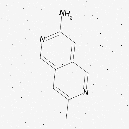 Cc1cc2cnc(N)cc2cn1